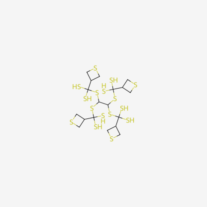 SC(S)(SC(SC(S)(S)C1CSC1)C(SC(S)(S)C1CSC1)SC(S)(S)C1CSC1)C1CSC1